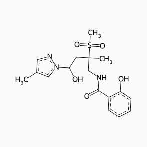 Cc1cnn(C(O)CC(C)(CNC(=O)c2ccccc2O)S(C)(=O)=O)c1